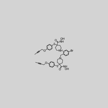 CC#CCOc1ccc(SC2(C(=O)NO)CCN(Cc3ccc(Br)cc3)CC2)cc1.CC#CCOc1ccc(SC2(C(=O)NO)CCNCC2)cc1